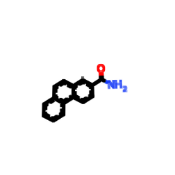 NC(=O)c1[c]c2ccc3ccccc3c2cc1